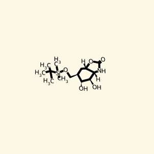 CC(C)(C)[Si](C)(C)OC[C@H]1C[C@@H]2OC(=O)N[C@@H]2[C@@H](O)[C@@H]1O